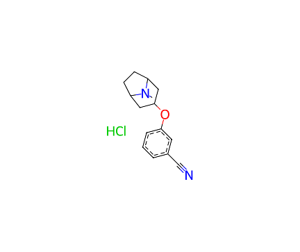 CN1C2CCC1CC(Oc1cccc(C#N)c1)C2.Cl